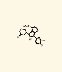 COc1cccc2c1c(C1CCCC(=O)C1)c(C(C)C)n2-c1ccc(F)c(C)c1